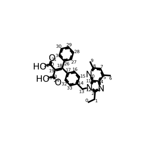 CCc1nc2c(C)cc(C)nc2n1Cc1ccc(C(=C(C(=O)O)C(=O)O)c2ccccc2)cc1